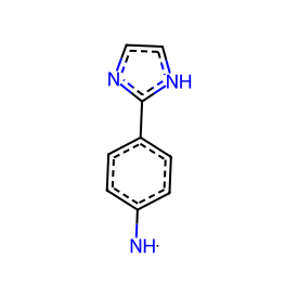 [NH]c1ccc(-c2ncc[nH]2)cc1